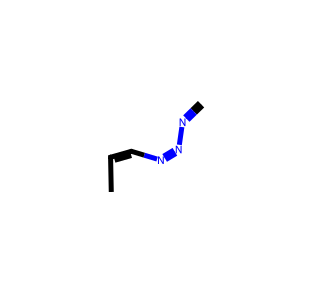 C=N/N=N\C=C/C